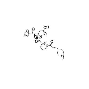 O=C(O)C[C@H](NC(=O)c1ccco1)NC(=O)[C@@H]1CCCN(C(=O)CCC2CCNCC2)C1